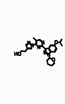 Cc1cnc(-c2nn(C3CCCCO3)c3ccc(OC(C)C)cc23)nc1-n1cc(CCO)cn1